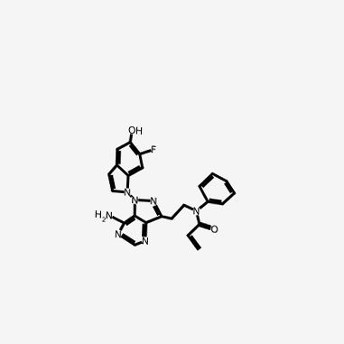 C=CC(=O)N(CCc1nn(-n2ccc3cc(O)c(F)cc32)c2c(N)ncnc12)c1ccccc1